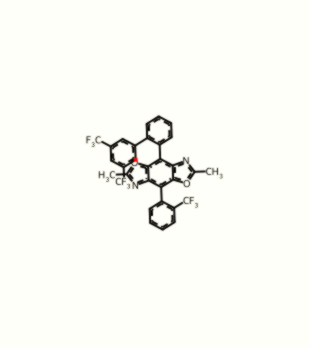 Cc1nc2c(-c3ccccc3C(F)(F)F)c3oc(C)nc3c(-c3ccccc3-c3cc(C(F)(F)F)cc(C(F)(F)F)c3)c2o1